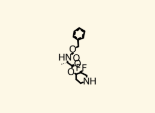 C[C@H](NC(=O)OCc1ccccc1)C(=O)OC1CCNCC1(F)F